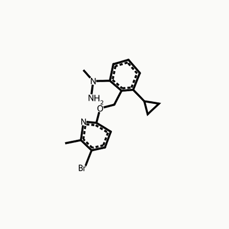 Cc1nc(OCc2c(C3CC3)cccc2N(C)N)ccc1Br